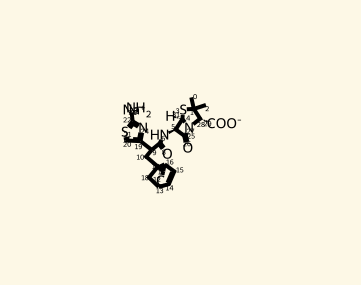 CC1(C)S[C@@H]2[C@H](NC(=O)C(CC3CC4C=CC3CC4)c3csc(N)n3)C(=O)N2[C@H]1C(=O)[O-].[Na+]